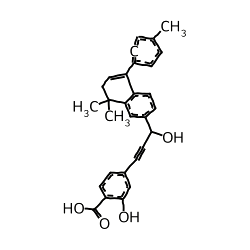 Cc1ccc(C2=CCC(C)(C)c3cc(C(O)C#Cc4ccc(C(=O)O)c(O)c4)ccc32)cc1